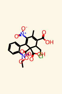 CCOC(=O)C1(C(=O)O)C(c2ccccc2[N+](=O)[O-])=C([N+](=O)[O-])C(C)=C(C(=O)O)C1CCl